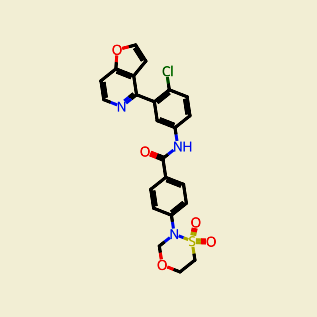 O=C(Nc1ccc(Cl)c(-c2nccc3occc23)c1)c1ccc(N2COCCS2(=O)=O)cc1